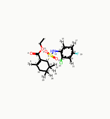 [2H]C1=C(C(=O)OCC)[C@H](S(=O)(=O)Nc2c([2H])c([2H])c(F)c([2H])c2Cl)C([2H])([2H])C([2H])([2H])C1